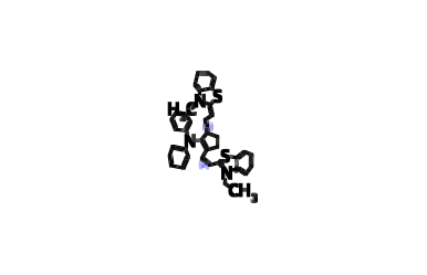 CC[n+]1c(/C=C\C2=C(N(c3ccccc3)c3ccccc3)C(=C/C=C3Sc4ccccc4N3C)/CC2)sc2ccccc21